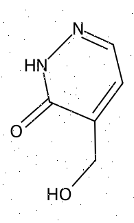 O=c1[nH]nccc1CO